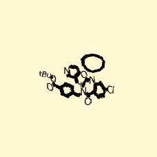 CC(C)(C)OC(=O)c1ccc(CN2C(=O)c3ccc(Cl)cc3N=C(OC3CCCCCCCCC3)[C@H]2Cc2cccnc2)cc1